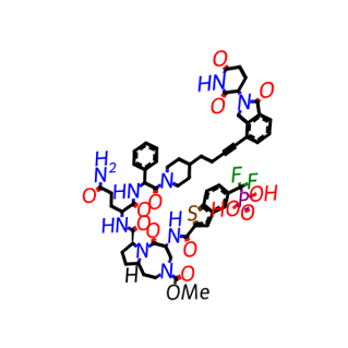 COC(=O)N1CC[C@H]2CC[C@@H](C(=O)NC(CCC(N)=O)C(=O)NC(C(=O)N3CCC(CCC#Cc4cccc5c4CN(C4CCC(=O)NC4=O)C5=O)CC3)c3ccccc3)N2C(=O)[C@@H](NC(=O)c2cc3cc(C(F)(F)P(=O)(O)O)ccc3s2)C1